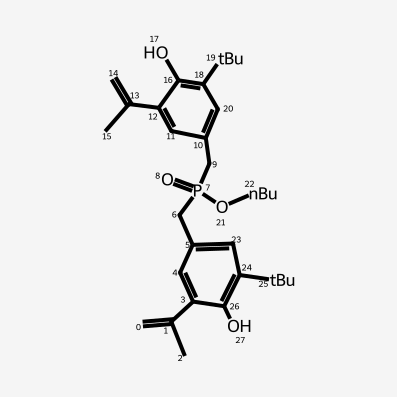 C=C(C)c1cc(CP(=O)(Cc2cc(C(=C)C)c(O)c(C(C)(C)C)c2)OCCCC)cc(C(C)(C)C)c1O